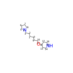 C(CCCN1CCCC1)CCOC1CCNCC1